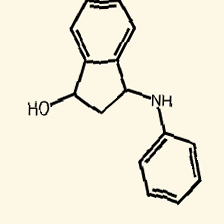 OC1CC(Nc2ccccc2)c2ccccc21